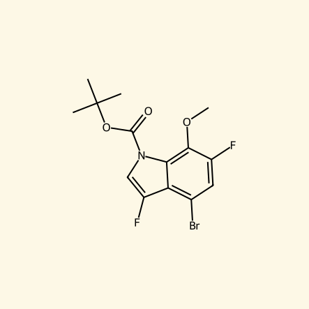 COc1c(F)cc(Br)c2c(F)cn(C(=O)OC(C)(C)C)c12